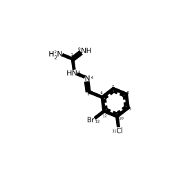 N=C(N)N/N=C/c1cccc(Cl)c1Br